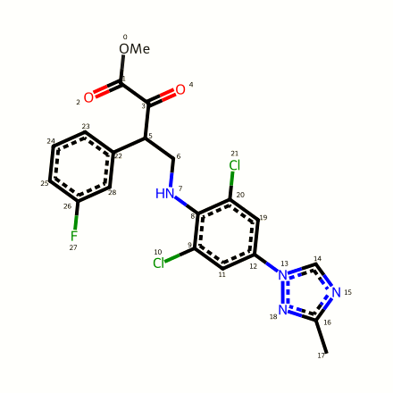 COC(=O)C(=O)C(CNc1c(Cl)cc(-n2cnc(C)n2)cc1Cl)c1cccc(F)c1